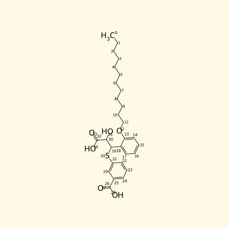 CCCCCCCCCCCCOc1ccccc1C(Sc1cccc(C(=O)O)c1)C(O)C(=O)O